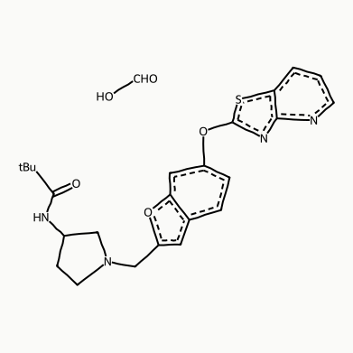 CC(C)(C)C(=O)NC1CCN(Cc2cc3ccc(Oc4nc5ncccc5s4)cc3o2)C1.O=CO